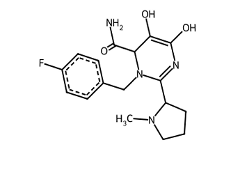 CN1CCCC1C1=NC(O)=C(O)C(C(N)=O)N1Cc1ccc(F)cc1